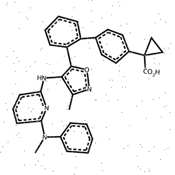 Cc1noc(-c2ccccc2-c2ccc(C3(C(=O)O)CC3)cc2)c1Nc1cccc(N(C)c2ccccc2)n1